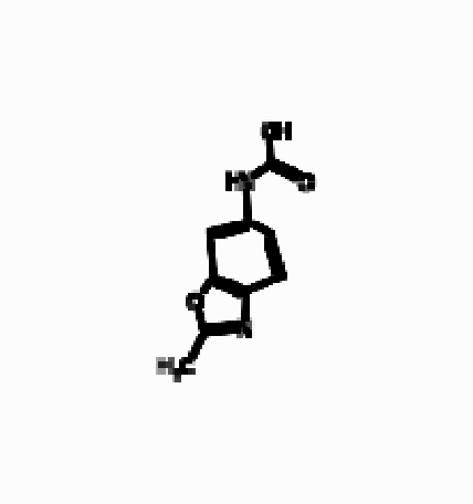 Cc1nc2ccc(NC(=O)O)cc2o1